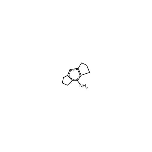 Nc1c2c(cc3c1CCC3)CCC2